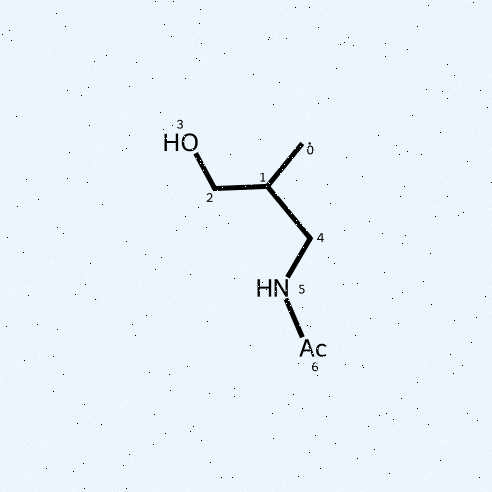 [CH2]C(CO)CNC(C)=O